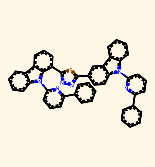 c1ccc(-c2cccc(-n3c4ccccc4c4cc(-c5nnc(-c6cccc7c8ccccc8n(-c8cccc(-c9ccccc9)n8)c67)s5)ccc43)n2)cc1